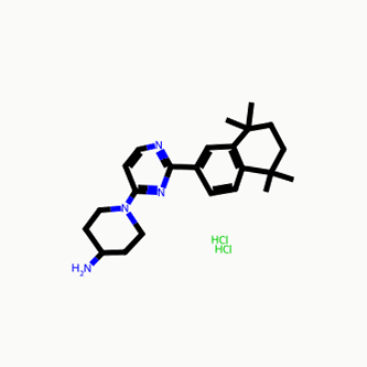 CC1(C)CCC(C)(C)c2cc(-c3nccc(N4CCC(N)CC4)n3)ccc21.Cl.Cl